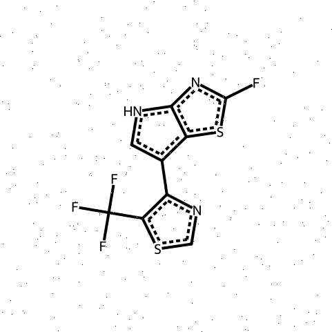 Fc1nc2[nH]cc(-c3ncsc3C(F)(F)F)c2s1